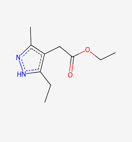 CCOC(=O)Cc1c(C)n[nH]c1CC